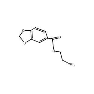 NCCOC(=O)c1ccc2c(c1)OCO2